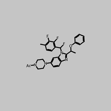 CC(=O)N1CCN(c2ccc3nc(C(C)Oc4ccccc4)n(C(F)c4ccc(C)c(F)c4F)c3c2)CC1